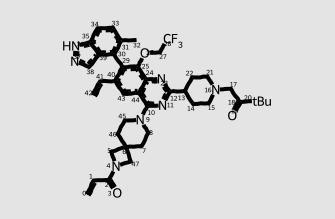 C=CC(=O)N1CC2(CCN(c3nc(C4CCN(CC(=O)C(C)(C)C)CC4)nc4c(OCC(F)(F)F)c(-c5c(C)ccc6[nH]ncc56)c(C=C)cc34)CC2)C1